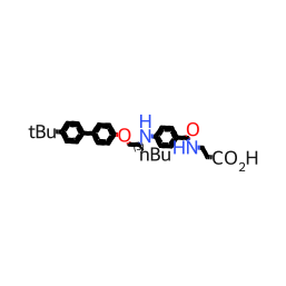 CCCC[C@@H](COc1ccc(-c2ccc(C(C)(C)C)cc2)cc1)Nc1ccc(C(=O)NCCC(=O)O)cc1